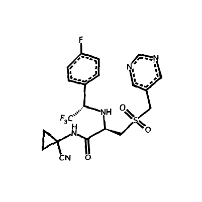 N#CC1(NC(=O)[C@H](CS(=O)(=O)Cc2cncnc2)N[C@@H](c2ccc(F)cc2)C(F)(F)F)CC1